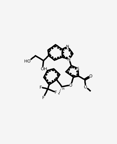 COC(=O)c1sc(-n2cnc3ccc(C(O)CO)cc32)cc1O[C@H](C)c1ccccc1C(F)(F)F